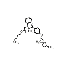 CCCCCOC(=O)CC(c1ccccc1)C(C)C(=O)c1ccc(OCC[N+]2(C)CCC(C)C2)cc1